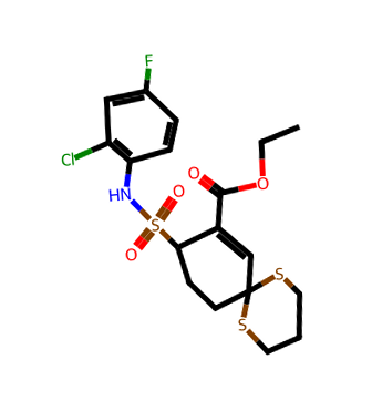 CCOC(=O)C1=CC2(CCC1S(=O)(=O)Nc1ccc(F)cc1Cl)SCCCS2